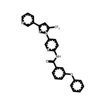 O=C(Nc1ccc(-n2nc(-c3cccnc3)cc2C(F)(F)F)cn1)c1cccc(Oc2ccccc2)c1